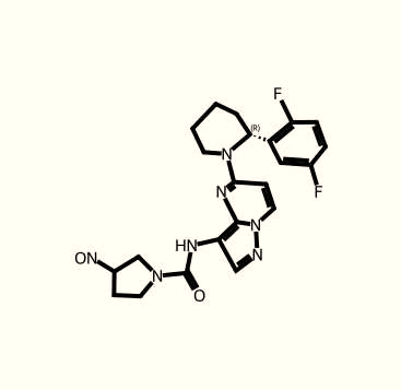 O=NC1CCN(C(=O)Nc2cnn3ccc(N4CCCC[C@@H]4c4cc(F)ccc4F)nc23)C1